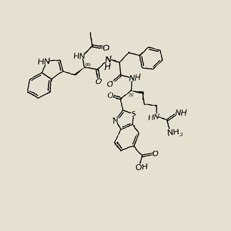 CC(=O)N[C@H](Cc1c[nH]c2ccccc12)C(=O)NC(Cc1ccccc1)C(=O)N[C@@H](CCCNC(=N)N)C(=O)c1nc2ccc(C(=O)O)cc2s1